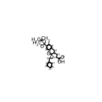 CC(C)(C)OC(=O)c1ccc(CC(CCC(=O)O)C(=O)OCc2ccccc2)cc1